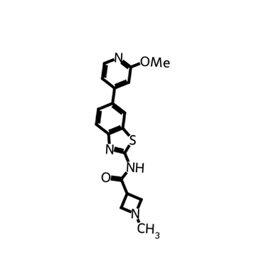 COc1cc(-c2ccc3nc(NC(=O)C4CN(C)C4)sc3c2)ccn1